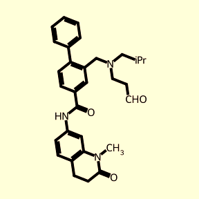 CC(C)CN(CCC=O)Cc1cc(C(=O)Nc2ccc3c(c2)N(C)C(=O)CC3)ccc1-c1ccccc1